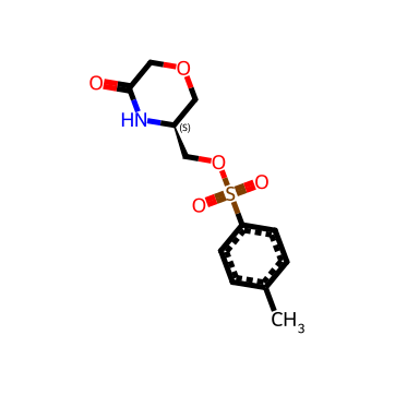 Cc1ccc(S(=O)(=O)OC[C@@H]2COCC(=O)N2)cc1